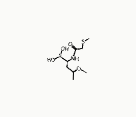 COC(C)C[C@H](NC(=O)CSC)B(O)O